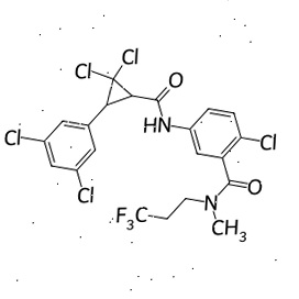 CN(CCC(F)(F)F)C(=O)c1cc(NC(=O)C2C(c3cc(Cl)cc(Cl)c3)C2(Cl)Cl)ccc1Cl